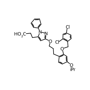 CC(C)Oc1ccc(CCCOc2cc(CCC(=O)O)n(-c3ccccc3)n2)c(OCc2ccc(Cl)cc2Cl)c1